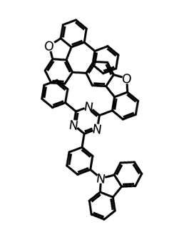 c1ccc(-c2nc(-c3cccc(-n4c5ccccc5c5ccccc54)c3)nc(-c3cccc4oc5ccc(-c6cccc7oc8cccc(-c9ccccc9)c8c67)cc5c34)n2)cc1